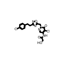 O=C(CO)Nc1cnn(Cc2nc(CCc3ccc(Cl)cc3)no2)c(=O)c1Cl